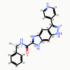 C[C@H](NC(=O)c1nc2cc3c(-c4ccncc4)n[nH]c3cc2[nH]1)c1ccccc1